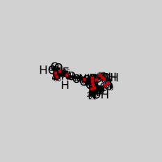 CCO/N=C1\[C@H](C)C[C@@](C)(OC)[C@H](OC2O[C@H](C)C[C@H](N(C)C)[C@H]2O)[C@@H](C)[C@H](OC2C[C@@](C)(OC)[C@@H](OC(=O)NCCOCCOCCNc3cc4c(cc3F)c(=O)c(C(=O)O)cn4C3CC3)[C@H](C)O2)[C@@H](C)C(=O)O[C@H](CC)[C@@](C)(O)[C@H](O)[C@H]1C